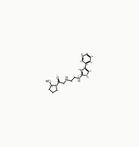 N#C[C@@H]1CCCN1C(=O)CNCCNc1nc(-c2cccnc2)cs1